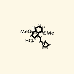 COc1ccc(CCN2CCCC2)c2c(OC)cccc12.Cl